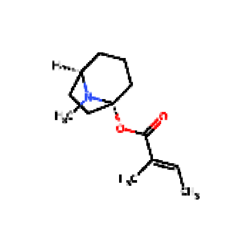 C/C=C(\C)C(=O)O[C@]12CCC[C@H](CC1)N2C